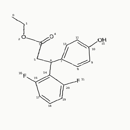 CCOC(=O)CC(c1ccc(O)cc1)c1c(F)cccc1F